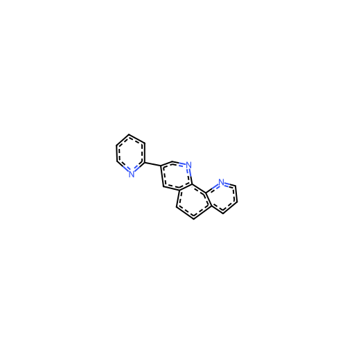 c1ccc(-c2cnc3c(ccc4cccnc43)c2)nc1